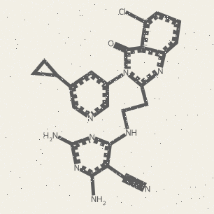 N#Cc1c(N)nc(N)nc1NCCc1nc2cccc(Cl)c2c(=O)n1-c1cncc(C2CC2)c1